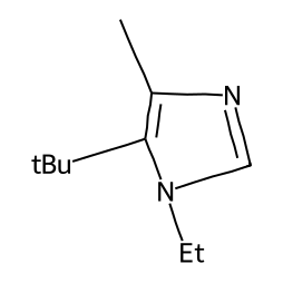 CCn1cnc(C)c1C(C)(C)C